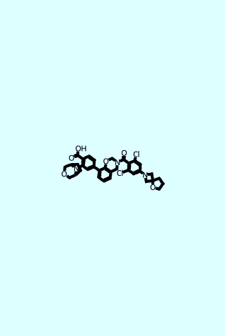 O=C(O)c1ccc(-c2cccc3c2OCN(C(=O)c2c(Cl)cc(N4CC5(CCCO5)C4)cc2Cl)C3)cc1N1C2CCC1COC2